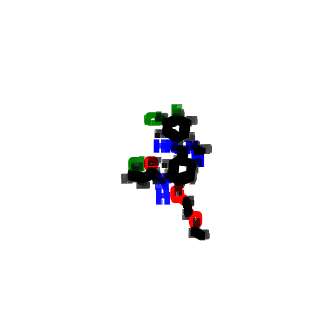 CCOCCOc1cc2ncnc(Nc3ccc(F)c(Cl)c3)c2cc1NC(=O)/C=C\Cl